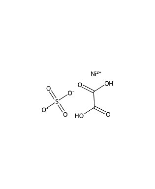 O=C(O)C(=O)O.O=S(=O)([O-])[O-].[Ni+2]